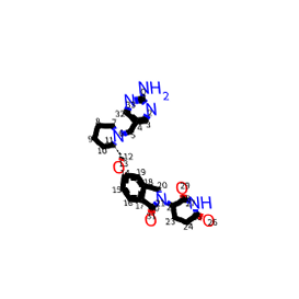 Nc1ncc(CN2CCCC[C@H]2COc2ccc3c(c2)CN(C2CCC(=O)NC2=O)C3=O)cn1